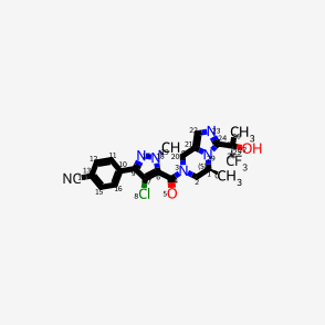 C[C@H]1CN(C(=O)c2c(Cl)c(-c3ccc(C#N)cc3)nn2C)Cc2cnc([C@@](C)(O)C(F)(F)F)n21